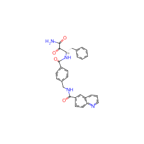 NC(=O)C(=O)[C@H](Cc1ccccc1)NC(=O)c1ccc(CNC(=O)c2ccc3ncccc3c2)cc1